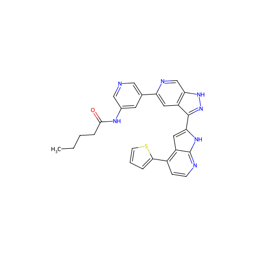 CCCCC(=O)Nc1cncc(-c2cc3c(-c4cc5c(-c6cccs6)ccnc5[nH]4)n[nH]c3cn2)c1